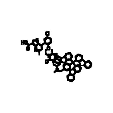 Cc1cc(-c2cc(Cl)ccc2OCCn2c(C)nc3c(c2=O)CC(N(C)Cc2ccc(C(c4cccc5c4Cc4ccccc4-5)(c4cccc5c4Cc4ccccc4-5)c4cccc5c4Cc4ccccc4-5)cc2)CC3)c2scc(C(=O)O)c2n1